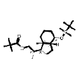 C[C@H](COC(=O)C(C)(C)C)[C@H]1CC[C@H]2[C@@H](O[Si](C)(C)C(C)(C)C)CCC[C@@]12C